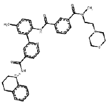 Cc1ccc(NC(=O)c2cccc(C(=O)N(C)CCN3CCOCC3)c2)c(-c2cc(C(=O)N[C@H]3CCCc4ccccc43)ccn2)c1